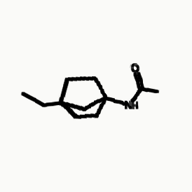 CCC12CCC(NC(C)=O)(CC1)C2